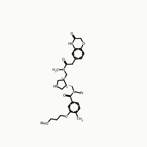 COCCCOc1cc(C(=O)N(C[C@@H]2CNC[C@H]2CN(C)C(=O)Cc2ccc3c(c2)NC(=O)CO3)C(C)C)ccc1C